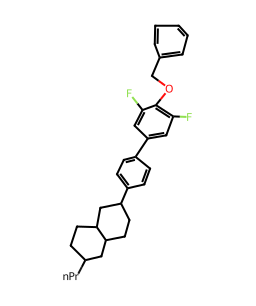 CCCC1CCC2CC(c3ccc(-c4cc(F)c(OCc5ccccc5)c(F)c4)cc3)CCC2C1